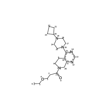 O=C(CCOCI)N1CCc2c(ncnc2N2CCN(C3CCC3)CC2)C1